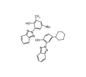 Cc1cc(C(C)(C)C)cc(-n2nc3ccccc3n2)c1O.Oc1ccc(C2CCCCC2)cc1-n1nc2ccccc2n1